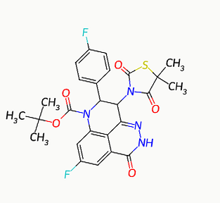 CC(C)(C)OC(=O)N1c2cc(F)cc3c(=O)[nH]nc(c23)C(N2C(=O)SC(C)(C)C2=O)C1c1ccc(F)cc1